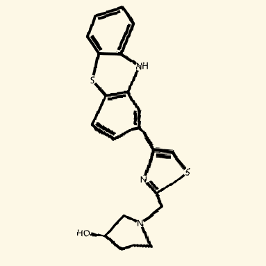 O[C@@H]1CCN(Cc2nc(-c3ccc4c(c3)Nc3ccccc3S4)cs2)C1